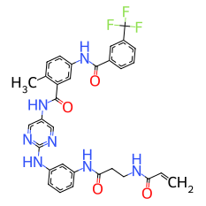 C=CC(=O)NCCC(=O)Nc1cccc(Nc2ncc(NC(=O)c3cc(NC(=O)c4cccc(C(F)(F)F)c4)ccc3C)cn2)c1